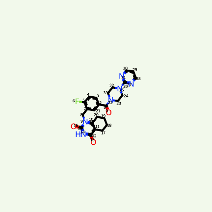 O=C(c1ccc(F)c(Cn2c3c(c(=O)[nH]c2=O)CCCC3)c1)N1CCN(c2ncccn2)CC1